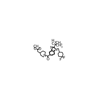 COC(=O)CC1CCN(C(=O)c2ccc3c(c2)nc(C(C)(C)C)n3CC2CCC(F)(F)CC2)CC1